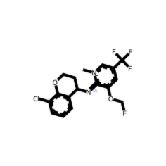 Cn1cc(C(F)(F)F)cc(OCF)/c1=N/C1CCOc2c(Cl)cccc21